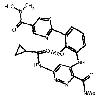 CNC(=O)c1nnc(NC(=O)C2CC2)cc1Nc1cccc(-c2ncc(C(=O)N(C)C)cn2)c1OC